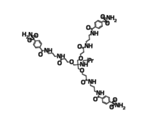 CC(C)CNC(COCCC(=O)NCCCNC(=O)c1ccc(S(N)(=O)=O)cc1)(COCCC(=O)NCCCNC(=O)c1ccc(S(N)(=O)=O)cc1)COCCC(=O)NCCCNC(=O)c1ccc(S(N)(=O)=O)cc1